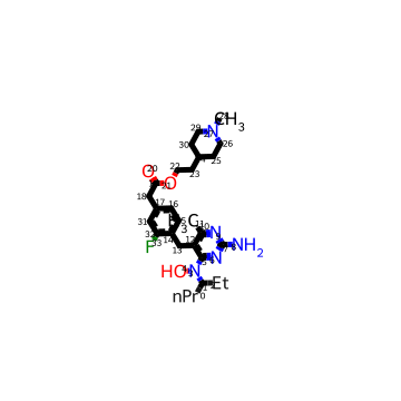 CCCC(CC)N(O)c1nc(N)nc(C)c1Cc1ccc(CC(=O)OCCC2CCN(C)CC2)cc1F